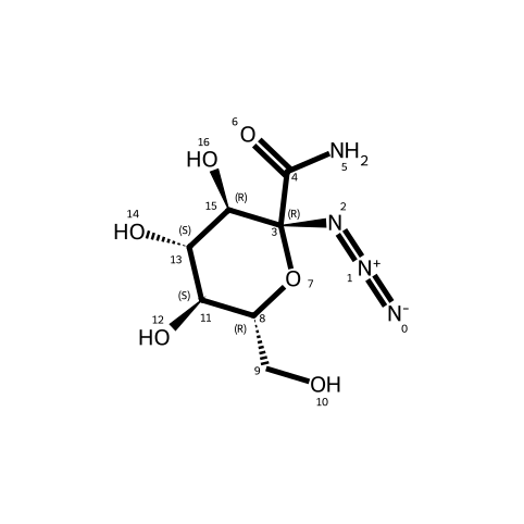 [N-]=[N+]=N[C@@]1(C(N)=O)O[C@H](CO)[C@@H](O)[C@H](O)[C@H]1O